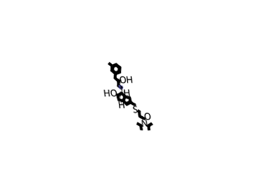 Cc1cccc(C[C@@H](O)/C=C/[C@@H]2[C@H]3CC(CSCCC(=O)N(C(C)C)C(C)C)=C[C@H]3C[C@H]2O)c1